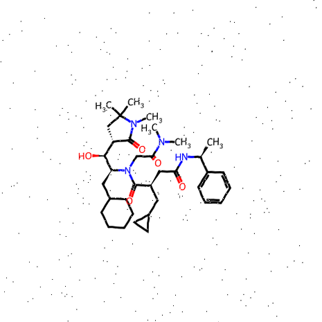 C[C@H](NC(=O)C[C@@H](CC1CC1)C(=O)N(CC(=O)N(C)C)[C@@H](CC1CCCCC1)[C@@H](O)[C@@H]1CC(C)(C)N(C)C1=O)c1ccccc1